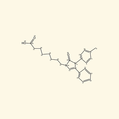 Cc1ccc(-n2c(-c3ccccc3)cn(CCCCCCCC(=O)O)c2=O)cc1